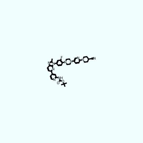 Cc1nc2ccc(-c3ccnc(NC(=O)OC(C)(C)C)c3)nc2n1-c1ccc(N2CCN(c3ccc(N4CCC(C#N)CC4)nc3)CC2)c(F)c1